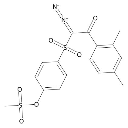 Cc1ccc(C(=O)C(=[N+]=[N-])S(=O)(=O)c2ccc(OS(C)(=O)=O)cc2)c(C)c1